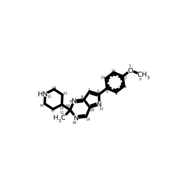 COc1ccc(C2=CC3=NC(C)(C4CCNCC4)N=CC3=N2)cc1